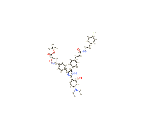 CCN(CC)c1ccc(-c2nc(-c3ccc(C4=NOC(C(=O)OC(C)(C)C)C4)cc3)c(-c3ccc(C=CC(=O)NCCc4ccc(F)cc4)cc3)[nH]2)c(O)c1